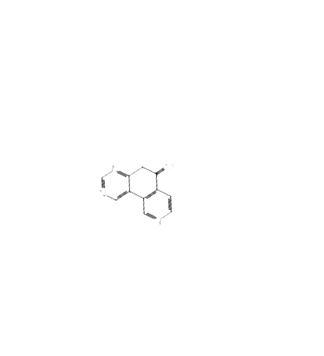 O=C1Cc2ncncc2-c2cnccc21